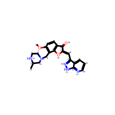 COc1ccc2c(c1CN1CCNC(C)C1)OC(=Cc1n[nH]c3ncccc13)C2=O